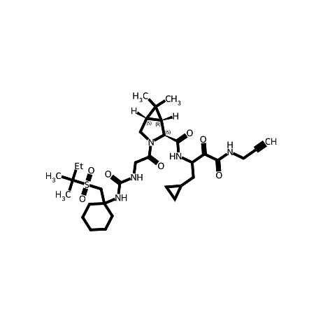 C#CCNC(=O)C(=O)C(CC1CC1)NC(=O)[C@@H]1[C@@H]2[C@H](CN1C(=O)CNC(=O)NC1(CS(=O)(=O)C(C)(C)CC)CCCCC1)C2(C)C